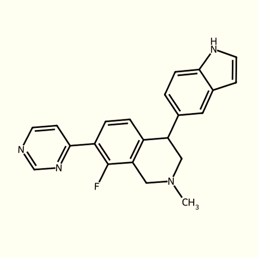 CN1Cc2c(ccc(-c3ccncn3)c2F)C(c2ccc3[nH]ccc3c2)C1